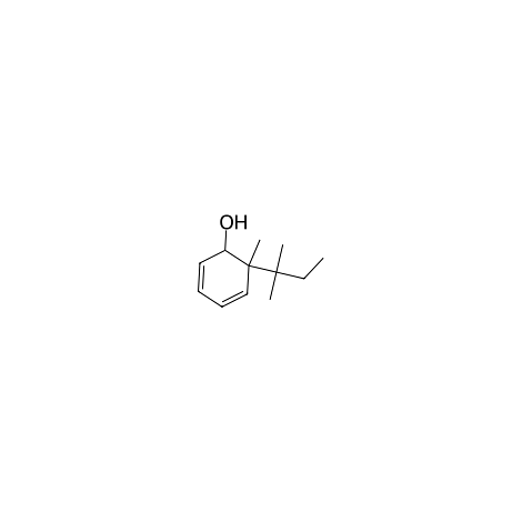 CCC(C)(C)C1(C)C=CC=CC1O